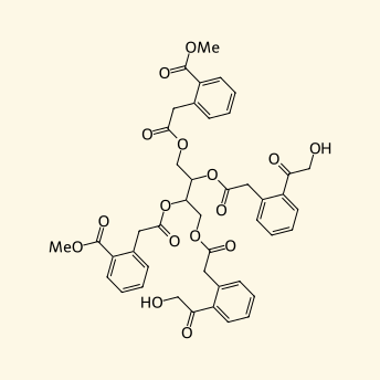 COC(=O)c1ccccc1CC(=O)OCC(OC(=O)Cc1ccccc1C(=O)CO)C(COC(=O)Cc1ccccc1C(=O)CO)OC(=O)Cc1ccccc1C(=O)OC